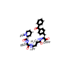 COC(=O)[C@H](Cc1ccc(C(=O)c2ccccc2)cc1)NC(=O)/C(C)=C/[C@@H](NC(=O)[C@@H](NC(=O)[C@H]1CCCCN1C(C)C)C(C)(C)C)C(C)C